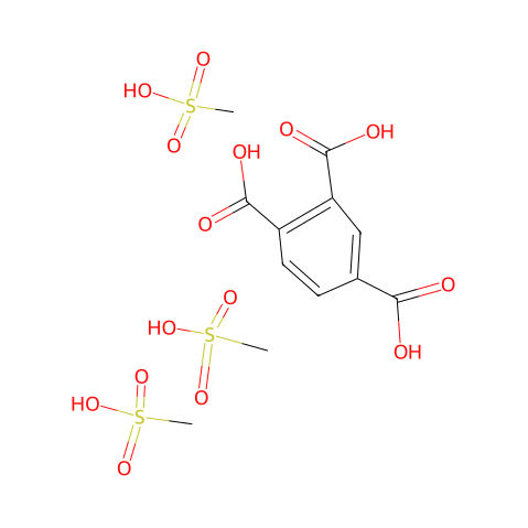 CS(=O)(=O)O.CS(=O)(=O)O.CS(=O)(=O)O.O=C(O)c1ccc(C(=O)O)c(C(=O)O)c1